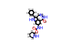 O=C(Nc1cc2c3c(c(-c4ccccc4)[nH]c3c1)C=NNC2=O)O[C@@H]1CCCCN1